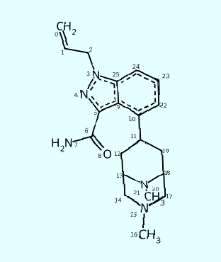 C=CCn1nc(C(N)=O)c2c(C3CC4CN(C)CC(C3)N4C)cccc21